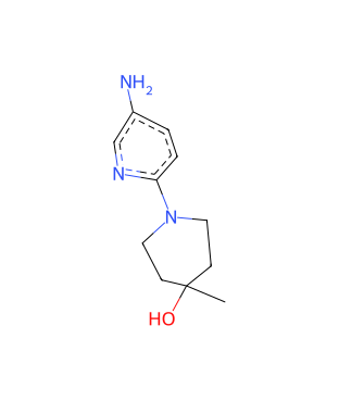 CC1(O)CCN(c2ccc(N)cn2)CC1